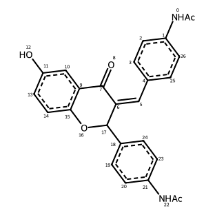 CC(=O)Nc1ccc(C=C2C(=O)c3cc(O)ccc3OC2c2ccc(NC(C)=O)cc2)cc1